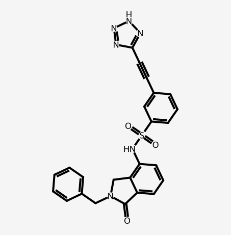 O=C1c2cccc(NS(=O)(=O)c3cccc(C#Cc4nn[nH]n4)c3)c2CN1Cc1ccccc1